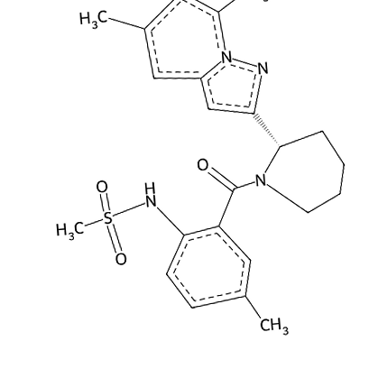 Cc1ccc(NS(C)(=O)=O)c(C(=O)N2CCCC[C@H]2c2cc3cc(C)cc(C)n3n2)c1